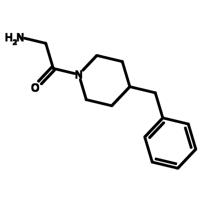 NCC(=O)N1CCC(Cc2ccccc2)CC1